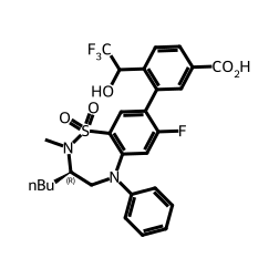 CCCC[C@@H]1CN(c2ccccc2)c2cc(F)c(-c3cc(C(=O)O)ccc3C(O)C(F)(F)F)cc2S(=O)(=O)N1C